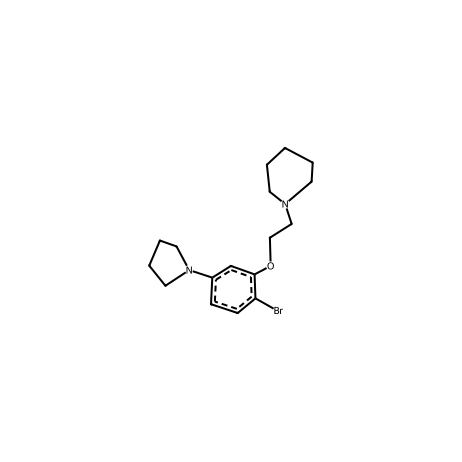 Brc1ccc(N2CCCC2)cc1OCCN1CCCCC1